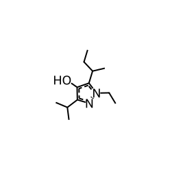 CCC(C)c1c(O)c(C(C)C)nn1CC